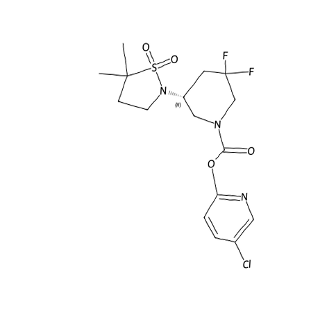 CC1(C)CCN([C@H]2CN(C(=O)Oc3ccc(Cl)cn3)CC(F)(F)C2)S1(=O)=O